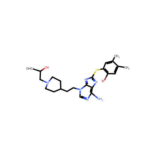 Cc1cc(Br)c(Sc2nc3c(N)ncn(CCC4CCN(CC(O)C=O)CC4)c-3n2)cc1C